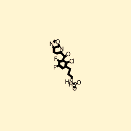 O=C(c1ccc2ncoc2n1)c1c(F)c(F)cc(CCCN[SH](=O)=O)c1Cl